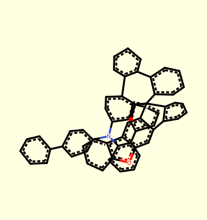 c1ccc(-c2ccc(N(c3ccc4c(c3)C3(c5ccccc5-c5ccccc5-4)c4ccccc4-c4cc5oc6ccccc6c5cc43)c3ccccc3-c3ccccc3)cc2)cc1